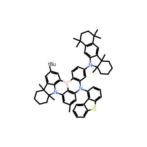 Cc1cc2c3c(c1)N1c4c(cc(C(C)(C)C)cc4C4(C)CCCCC14C)B3c1ccc(N3c4cc5c(cc4C4(C)CCCCC34C)C(C)(C)CCC5(C)C)cc1N2c1cccc2sc3ccccc3c12